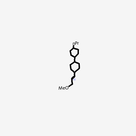 CCCC1CCC(C2CCC(/C=C/COC)CC2)CC1